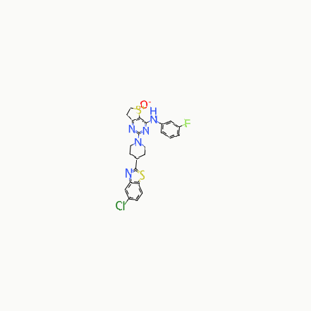 [O-][S+]1CCc2nc(N3CCC(c4nc5cc(Cl)ccc5s4)CC3)nc(Nc3cccc(F)c3)c21